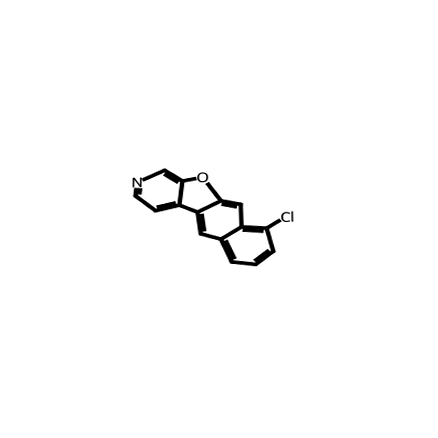 Clc1cccc2cc3c(cc12)oc1cnccc13